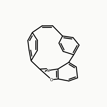 c1cc2oc3nc2c(c1)c1ccc(ccc2ccc3cc2)cc1